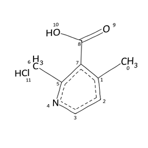 Cc1ccnc(C)c1C(=O)O.Cl